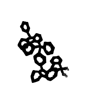 CC1(C)c2ccccc2-c2c1ccc1c3c(n(-c4ccc([Si](c5ccccc5)(c5ccccc5)c5cccc6c5c5ccccc5n6-c5ccccc5)cc4)c21)C=CCC3